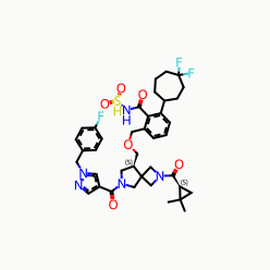 CC1(C)C[C@@H]1C(=O)N1CC2(CN(C(=O)c3cnn(Cc4ccc(F)cc4)c3)C[C@H]2COCc2cccc(C3CCCC(F)(F)CC3)c2C(=O)N[SH](=O)=O)C1